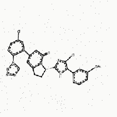 CC(=O)Oc1cccc(-c2[nH]c([C@@H]3CCc4cc(-c5cc(Cl)ccc5-n5cnnn5)cc(=O)n43)nc2Cl)c1